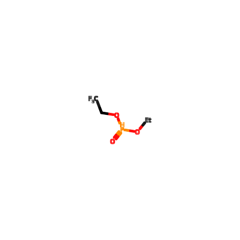 CCO[PH](=O)OCC(F)(F)F